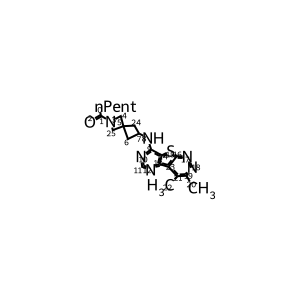 CCCCCC(=O)N1CC2(CC(Nc3ncnc4c3sc3nnc(C)c(C)c34)C2)C1